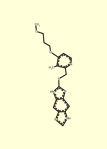 COCCCOc1ccnc(CSc2nc3cc4[nH]cnc4cc3[nH]2)c1C